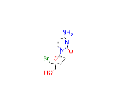 NC1=NC(=O)N([C@H]2CC[C@](CO)(CBr)O2)CC1